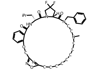 CC(C)C[C@H]1NC(=O)c2ccccc2OCc2noc(n2)CCCCCCCCN(C)CCN(Cc2ccccc2)C(=O)[C@H]2CC(F)(F)CN2C1=O